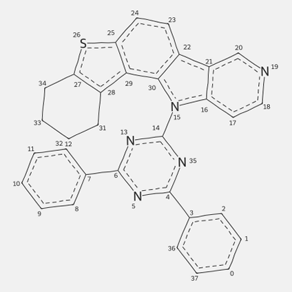 c1ccc(-c2nc(-c3ccccc3)nc(-n3c4ccncc4c4ccc5sc6c(c5c43)CCCC6)n2)cc1